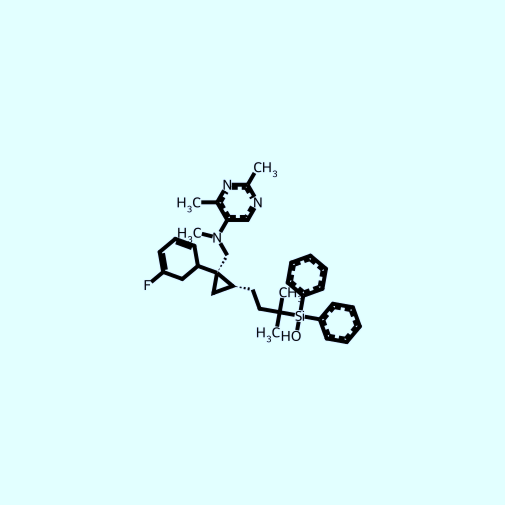 Cc1ncc(N(C)C[C@@]2(C3C=CC=C(F)C3)C[C@H]2CCC(C)(C)[Si](O)(c2ccccc2)c2ccccc2)c(C)n1